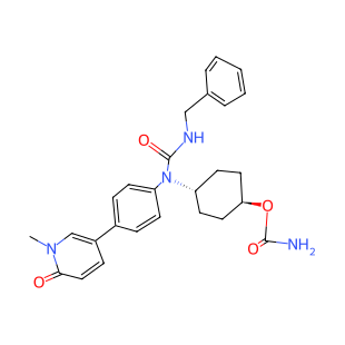 Cn1cc(-c2ccc(N(C(=O)NCc3ccccc3)[C@H]3CC[C@H](OC(N)=O)CC3)cc2)ccc1=O